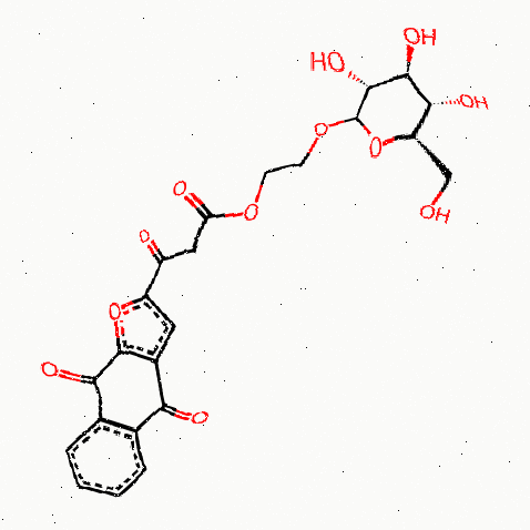 O=C(CC(=O)c1cc2c(o1)C(=O)c1ccccc1C2=O)OCCOC1O[C@H](CO)[C@@H](O)[C@H](O)[C@H]1O